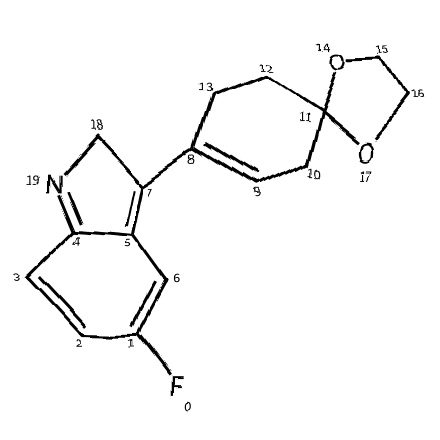 Fc1ccc2c(c1)=C(C1=CCC3(CC1)OCCO3)CN=2